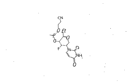 CCC1OCC(n2ccc(=O)[nH]c2=O)C(F)C1OP(C)OCCC#N